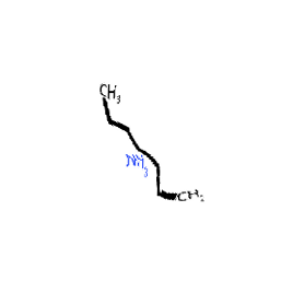 C=CCCCCC.N